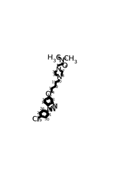 CN(C)C(=O)CN1CCN(CCCCCOc2ccc3c(c2)nnn3-c2ccc(Cl)cc2)CC1